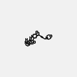 C[C@H]1[C@H](NC(=O)c2cc3c(C#CCN4CCOCC4)coc3cn2)C2CCN1CC2